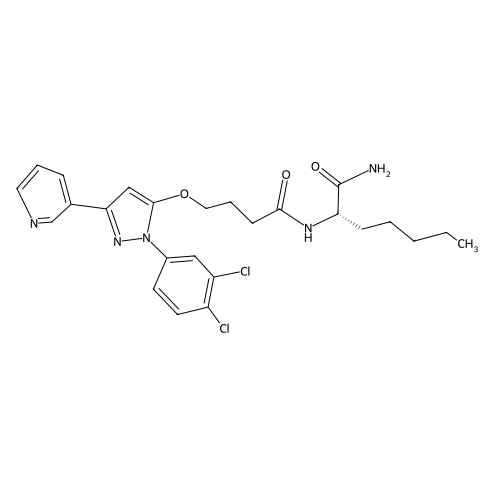 CCCCC[C@H](NC(=O)CCCOc1cc(-c2cccnc2)nn1-c1ccc(Cl)c(Cl)c1)C(N)=O